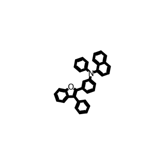 c1ccc(-c2c(-c3cccc(N(c4ccccc4)c4cccc5ccccc45)c3)oc3ccccc23)cc1